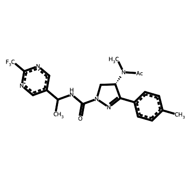 CC(=O)N(C)[C@H]1CN(C(=O)NC(C)c2cnc(C(F)(F)F)nc2)N=C1c1ccc(C)cc1